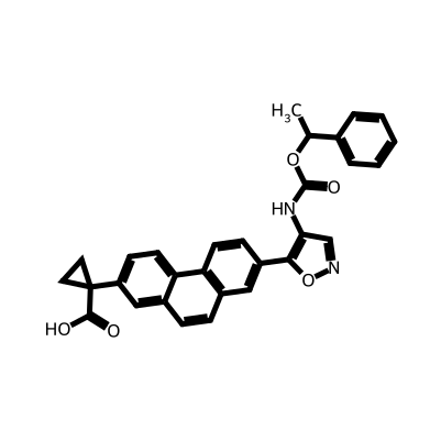 CC(OC(=O)Nc1cnoc1-c1ccc2c(ccc3cc(C4(C(=O)O)CC4)ccc32)c1)c1ccccc1